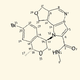 CNC(=O)c1cc2ncc3c(c2n1[C@H]1CO[C@H](C)c2cc(Br)ccc21)COC3